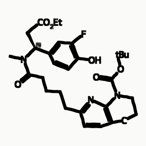 CCOC(=O)C[C@@H](c1ccc(O)c(F)c1)N(C)C(=O)CCCCc1ccc2c(n1)N(C(=O)OC(C)(C)C)CCC2